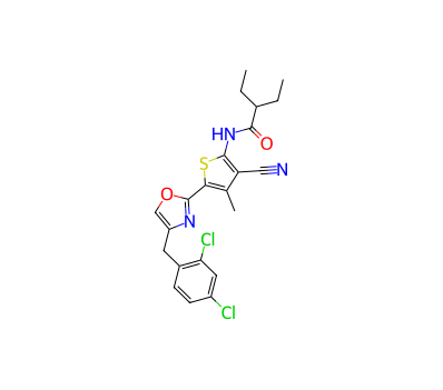 CCC(CC)C(=O)Nc1sc(-c2nc(Cc3ccc(Cl)cc3Cl)co2)c(C)c1C#N